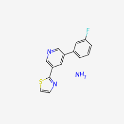 Fc1cccc(-c2cncc(-c3nccs3)c2)c1.N